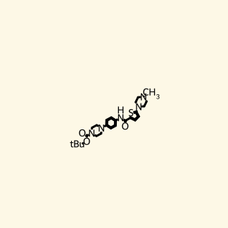 CN1CCN(c2ccc(C(=O)Nc3ccc(N4CCN(C(=O)OC(C)(C)C)CC4)cc3)s2)CC1